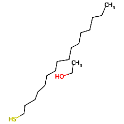 CCCCCCCCCCCCCCCCS.CCO